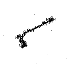 C=CC(=O)Nc1cc(N2CCN(C(=O)CCCC(=O)NCCCOCCOCCOCCCNC(=O)CCCC[C@@H]3SC[C@@H]4NC(=O)N[C@@H]43)CC2)ccc1Cc1ncc2c(n1)N(C)C(=O)N(c1c(Cl)c(OC)cc(OC)c1Cl)C2